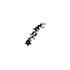 C[C@H]1CN(c2ncc(C[C@H](O)CO)cc2F)CCN1C(=O)Nc1nc2c(F)c(F)ccc2s1